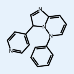 C1=CN(c2ccccc2)N2C(=C1)N=CC2c1ccncc1